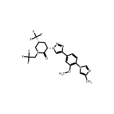 COc1cc(-c2cn([C@H]3C[C@@H](C(F)(F)F)CN(CC(F)(F)F)C3=O)nn2)ccc1-n1cnc(C)c1